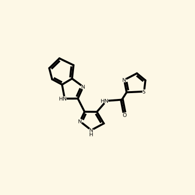 O=C(Nc1c[nH]nc1-c1nc2ccccc2[nH]1)c1nccs1